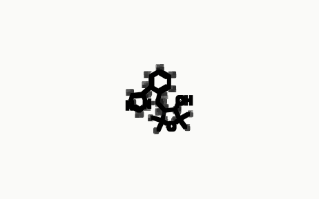 CC1(C)OC(C)(C)[C@H](O)[C@@H]1[C@H]1c2ccccc2-c2cncn21